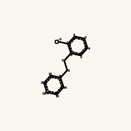 Clc1ccccc1CCc1ccncc1